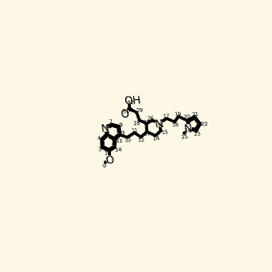 COc1ccc2nccc(CCCC3CCN(CCCc4cccn4C)CC3CCC(=O)O)c2c1